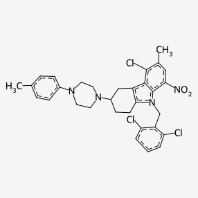 Cc1ccc(N2CCN(C3CCc4c(c5c(Cl)c(C)cc([N+](=O)[O-])c5n4Cc4c(Cl)cccc4Cl)C3)CC2)cc1